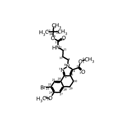 COC(=O)c1c2c(nn1CCCNC(=O)OC(C)(C)C)-c1cc(Br)c(OC)cc1CC2